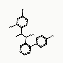 CC(c1ccc(Cl)cc1Cl)C(O)c1cccnc1-c1ccc(Cl)cc1